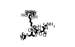 CO/N=C(\C(=O)NC1C(=O)[N+]2(C(=O)NCCCCCC(P(=O)(O)O)P(=O)(O)O)C=C(CSc3cnnn3C)CS[C@@H]12)c1csc(N)n1